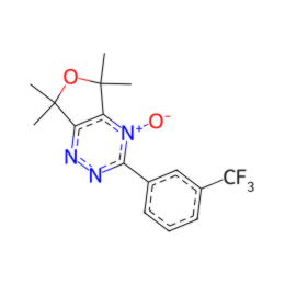 CC1(C)OC(C)(C)c2c1nnc(-c1cccc(C(F)(F)F)c1)[n+]2[O-]